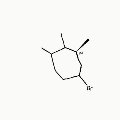 CC1CCC(Br)C[C@H](C)C1C